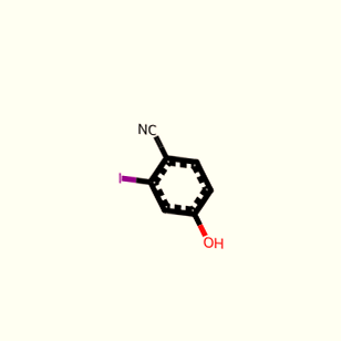 N#Cc1ccc(O)cc1I